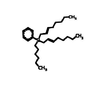 CCCCC/C=C/C[Si](C/C=C/CCCCC)(CCCCCC)c1ccccc1